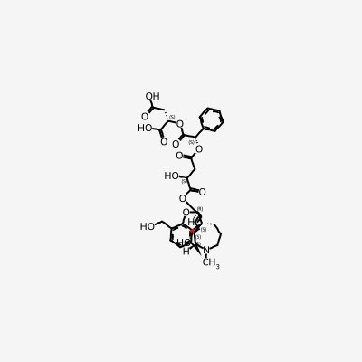 CN1CCC[C@]23c4c5ccc(CO)c4O[C@H]2C(OC(=O)[C@@H](O)CC(=O)O[C@H](C(=O)O[C@@H](CC(=O)O)C(=O)O)c2ccccc2)=CC[C@@]3(O)[C@H]1C5